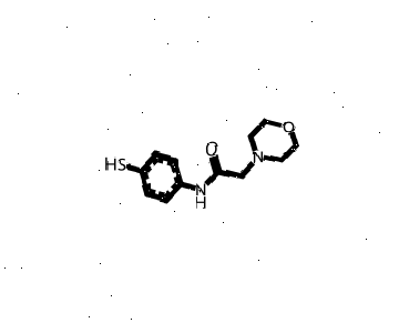 O=C(CN1CCOCC1)Nc1ccc(S)cc1